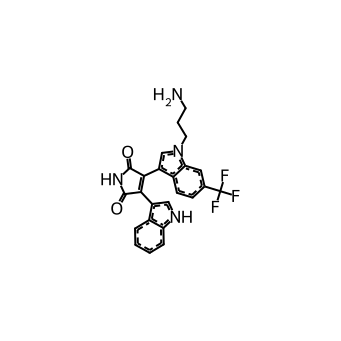 NCCCn1cc(C2=C(c3c[nH]c4ccccc34)C(=O)NC2=O)c2ccc(C(F)(F)F)cc21